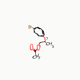 CC(=O)OCC(C)Oc1ccc(Br)cc1